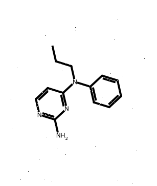 CCCN(c1ccccc1)c1ccnc(N)n1